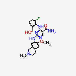 COc1cc2c(cc1Nc1ncc(C(N)=O)c(Nc3c(F)cccc3CO)n1)CN(C)CC2